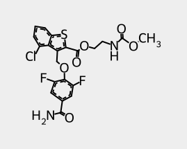 COC(=O)NCCOC(=O)c1sc2cccc(Cl)c2c1COc1c(F)cc(C(N)=O)cc1F